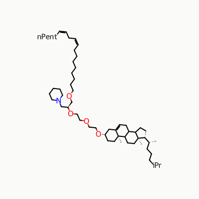 CCCCC/C=C\C/C=C\CCCCCCCCOC[C@H](CN1CCCCC1)OCCOCCO[C@H]1CC[C@@]2(C)C(=CCC3C2CC[C@@]2(C)C3CC[C@@H]2[C@H](C)CCCC(C)C)C1